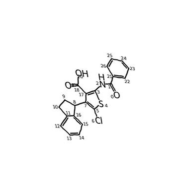 O=C(Nc1sc(Cl)c(C2CCc3ccccc32)c1C(=O)O)c1ccccc1